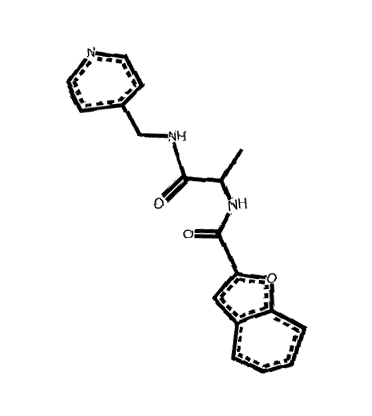 CC(NC(=O)c1cc2ccccc2o1)C(=O)NCc1ccncc1